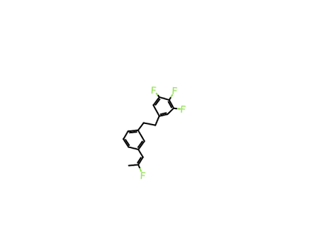 C/C(F)=C\c1cccc(CCc2cc(F)c(F)c(F)c2)c1